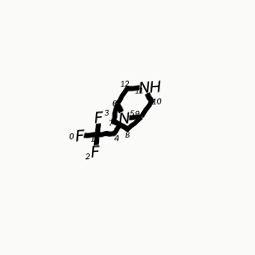 FC(F)(F)CN1C2CCC1CNC2